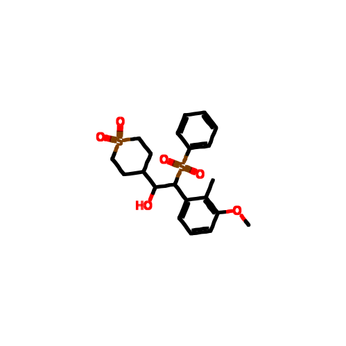 COc1cccc(C(C(O)C2CCS(=O)(=O)CC2)S(=O)(=O)c2ccccc2)c1C